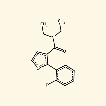 CCN(CC)C(=O)c1ccoc1-c1ccccc1F